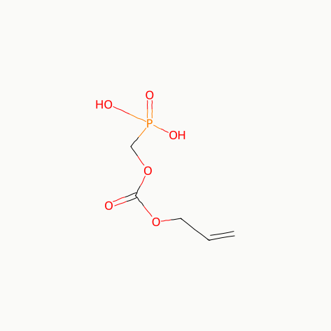 C=CCOC(=O)OCP(=O)(O)O